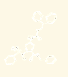 N[C@H](C(=O)N1CC(NC(=O)OCC2c3ccccc3-c3ccccc32)CC1C(=O)OCc1ccccc1)C1CCCCC1